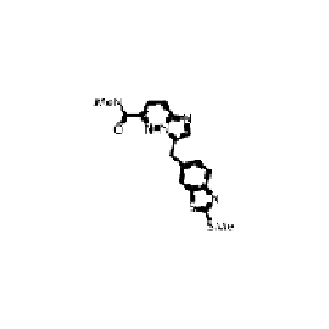 CNC(=O)c1ccc2ncc(Cc3ccc4nc(SC)sc4c3)n2n1